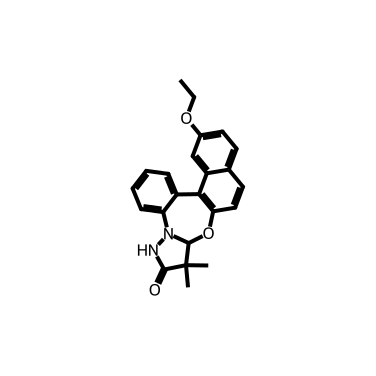 CCOc1ccc2ccc3c(c2c1)-c1ccccc1N1NC(=O)C(C)(C)C1O3